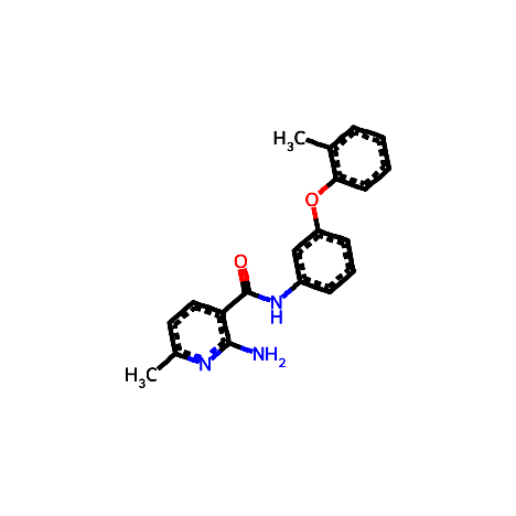 Cc1ccc(C(=O)Nc2cccc(Oc3ccccc3C)c2)c(N)n1